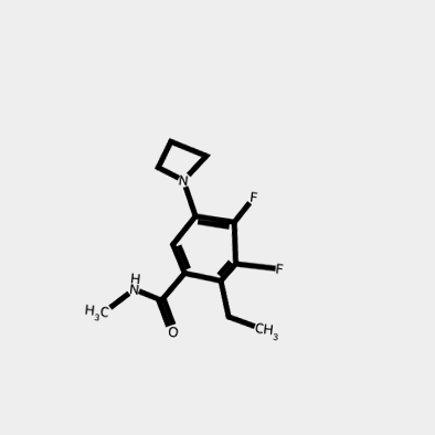 CCc1c(C(=O)NC)cc(N2CCC2)c(F)c1F